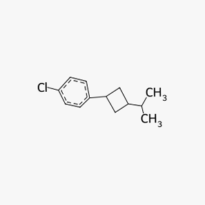 CC(C)C1CC(c2ccc(Cl)cc2)C1